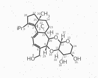 CC(C)C1=C2C3=CC=C(CO)[C@H]4O[C@H]5[C@@H](OC[C@@H](O)[C@@H]5O)O[C@@H]4[C@]3(C)CC[C@@]2(C)CC1